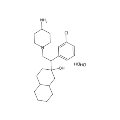 Cl.Cl.NC1CCN(CC(c2cccc(Cl)c2)C2(O)CCC3CCCCC3C2)CC1